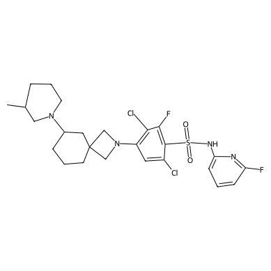 CC1CCCN(C2CCCC3(C2)CN(c2cc(Cl)c(S(=O)(=O)Nc4cccc(F)n4)c(F)c2Cl)C3)C1